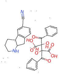 N#Cc1ccc2c(c1)C1CCCNC1C2.O=C(O)C(O)(C(=O)c1ccccc1)C(O)(C(=O)O)C(=O)c1ccccc1